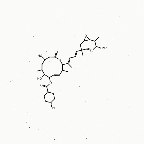 CCC(OC)C(C)C1OC1CC(C)(O)/C=C/C=C(\C)C1OC(=O)CC(O)CC(C)C(O)C(OC(=O)N2CCN(C(C)C)CC2)/C=C/C1C